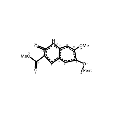 CCCCCOc1cc2cc(C(=O)OC)c(=O)[nH]c2cc1OC